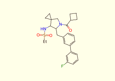 CCS(=O)(=O)NC1C(Cc2cccc(-c3cccc(F)c3)c2)N(C(=O)C2CCC2)CC12CC2